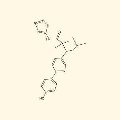 CC(C)CC(c1ccc(-c2ccc(O)cc2)cc1)C(C)(C)C(=O)Nc1nncs1